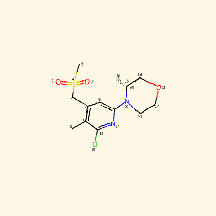 Cc1c(CS(C)(=O)=O)cc(N2CCOC[C@H]2C)nc1Cl